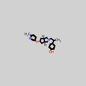 Cc1ccc(O[C@H]2C[C@@H]3CN(CC(C)c4ccc(O)cc4)C[C@@H]3C2)cn1